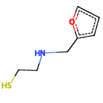 SCCNCc1ccco1